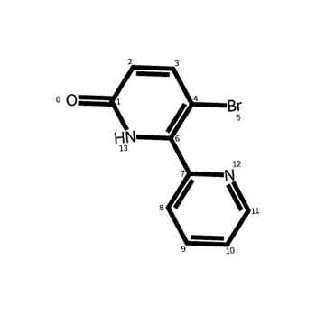 O=c1ccc(Br)c(-c2ccccn2)[nH]1